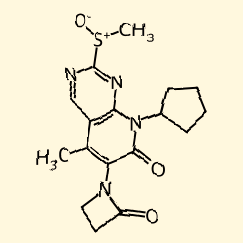 Cc1c(N2CCC2=O)c(=O)n(C2CCCC2)c2nc([S+](C)[O-])ncc12